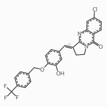 O=c1c2ccc(Cl)cc2nc2n1CC/C2=C\c1ccc(OCc2ccc(C(F)(F)F)cc2)c(O)c1